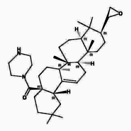 CC1(C)CC[C@]2(C(=O)N3CCNCC3)CC[C@]3(C)C(=CC[C@@H]4[C@@]5(C)CC[C@H](C6CO6)C(C)(C)[C@@H]5CC[C@]43C)[C@@H]2C1